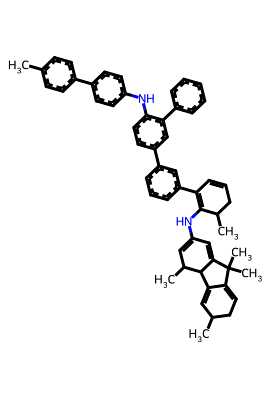 Cc1ccc(-c2ccc(Nc3ccc(-c4cccc(C5=C(NC6=CC(C)C7C8=CC(C)CC=C8C(C)(C)C7=C6)C(C)CC=C5)c4)cc3-c3ccccc3)cc2)cc1